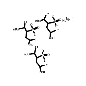 CCCCC(CC)CC(C(CC)CCCC)P(=O)([O-])[O-].CCCCC(CC)CC(C(CC)CCCC)P(=O)([O-])[O-].CCCCC(CC)CC(C(CC)CCCC)P(=O)([O-])[O-].[Nd+3].[Nd+3]